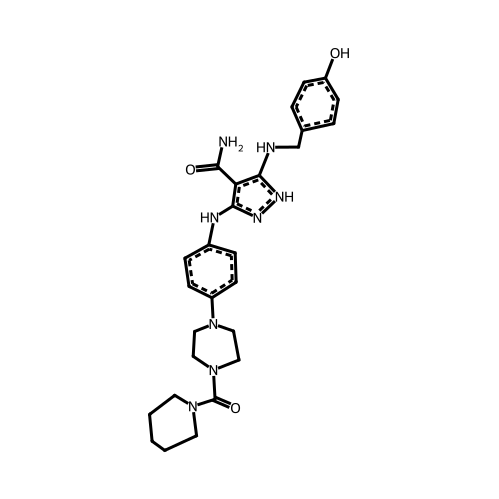 NC(=O)c1c(Nc2ccc(N3CCN(C(=O)N4CCCCC4)CC3)cc2)n[nH]c1NCc1ccc(O)cc1